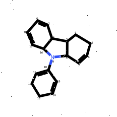 C1=CC2C3CCC=CC3N(C3=CCCC=C3)C2C=C1